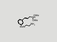 CNCCN.CO[SiH](CC=Cc1ccccc1)OC